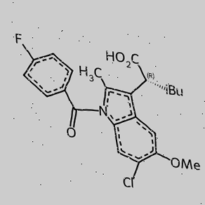 CCC(C)[C@@H](C(=O)O)c1c(C)n(C(=O)c2ccc(F)cc2)c2cc(Cl)c(OC)cc12